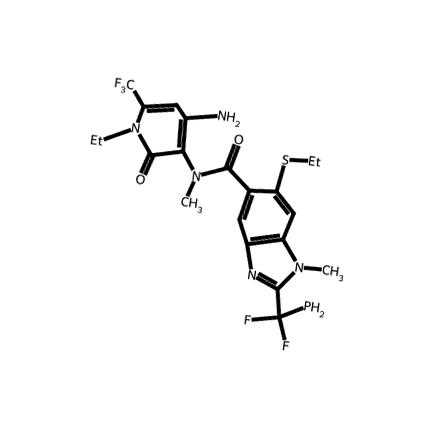 CCSc1cc2c(cc1C(=O)N(C)c1c(N)cc(C(F)(F)F)n(CC)c1=O)nc(C(F)(F)P)n2C